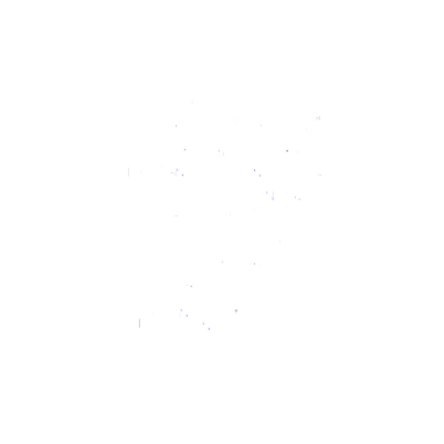 CC(C)CN(C(=O)O)c1cccc(Cc2nn(-c3ccc(-c4cnn(C)c4)cc3)ccc2=O)c1